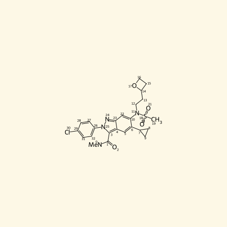 CNC(=O)c1c2cc(C3CC3)c(N(CCC3CCO3)S(C)(=O)=O)cc2nn1-c1ccc(Cl)cc1